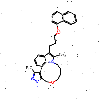 Cc1c(CCCOc2cccc3ccccc23)c2cccc3c2n1CCCCOCc1[nH]nc(C(F)(F)F)c1-3